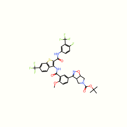 COc1ccc(C2=NOC3CN(C(=O)OC(C)(C)C)CC23)cc1C(=O)Nc1c(C(=O)Nc2ccc(F)c(C(F)(F)F)c2)sc2cc(C(F)(F)F)ccc12